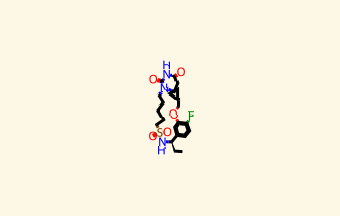 CC[C@@H](NS(=O)(=O)CCCCCN1CCC(=O)NC1=O)c1ccc(F)c(OCC2CC2)c1